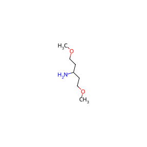 COCCC(N)CCOC